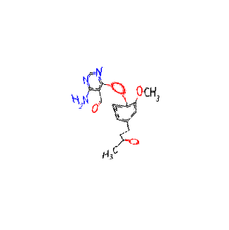 COc1cc(CCC(C)=O)ccc1Oc1ncnc(N)c1C=O